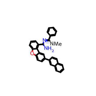 CN/C(=N\C(N)c1cccc2oc3ccc(-c4ccc5ccccc5c4)cc3c12)c1ccccc1